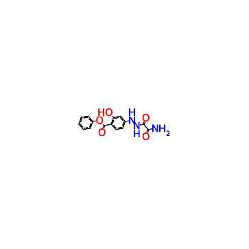 NC(=O)C(=O)NNc1ccc(C(=O)Oc2ccccc2)c(O)c1